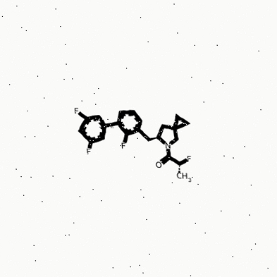 C[C@@H](F)C(=O)N1CC2(CC2)C[C@@H]1Cc1cccc(-c2cc(F)cc(F)c2)c1F